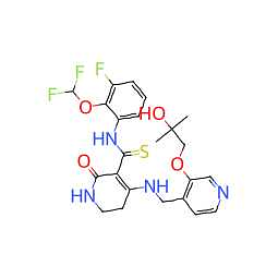 CC(C)(O)COc1cnccc1CNC1=C(C(=S)Nc2cccc(F)c2OC(F)F)C(=O)NCC1